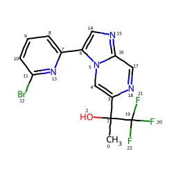 CC(O)(c1cn2c(-c3cccc(Br)n3)cnc2cn1)C(F)(F)F